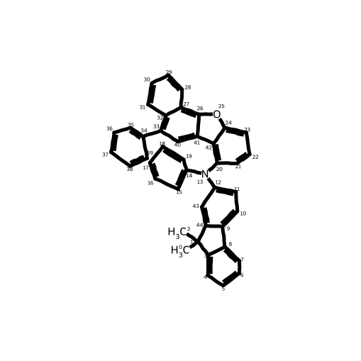 CC1(C)c2ccccc2-c2ccc(N(c3ccccc3)c3cccc4oc5c6ccccc6c(-c6ccccc6)cc5c34)cc21